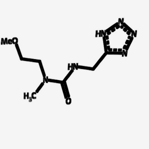 COCCN(C)C(=O)NCc1nnn[nH]1